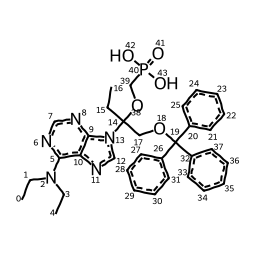 CCN(CC)c1ncnc2c1ncn2C(CC)(COC(c1ccccc1)(c1ccccc1)c1ccccc1)OCP(=O)(O)O